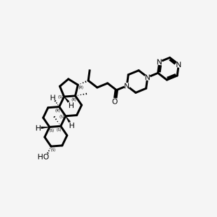 CC(CCC(=O)N1CCN(c2ccncn2)CC1)[C@H]1CC[C@H]2[C@@H]3CC[C@H]4C[C@@H](O)CC[C@]4(C)[C@H]3CC[C@]12C